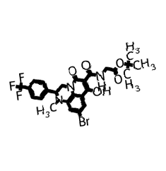 CN1c2cc(Br)cc3c(O)c(C(=O)NCC(=O)OC(C)(C)C)c(=O)n(c23)CC1c1ccc(C(F)(F)F)cc1